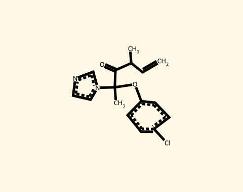 C=CC(C)C(=O)C(C)(Oc1ccc(Cl)cc1)n1ccnc1